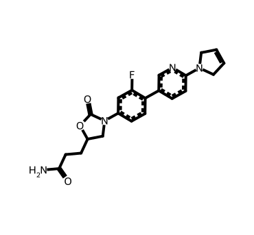 NC(=O)CCC1CN(c2ccc(-c3ccc(N4CC=CC4)nc3)c(F)c2)C(=O)O1